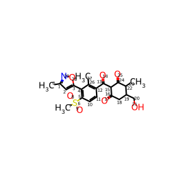 Cc1cc(-c2c(S(C)(=O)=O)ccc(C(=O)C3C(=O)CC(CO)C(C)C3=O)c2C)on1